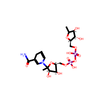 CC1O[C@H](COP(=O)(O)OP(=O)(O)OC[C@H]2OC(C)(N3C=CCC(C(N)=O)=C3)[C@H](O)[C@@H]2O)[C@@H](O)[C@H]1O